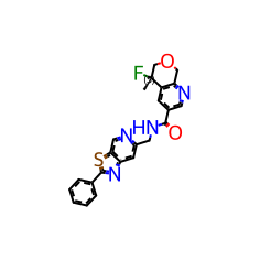 C[C@@]1(F)COCc2ncc(C(=O)NCc3cc4nc(-c5ccccc5)sc4cn3)cc21